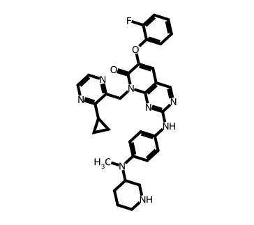 CN(c1ccc(Nc2ncc3cc(Oc4ccccc4F)c(=O)n(Cc4nccnc4C4CC4)c3n2)cc1)C1CCCNC1